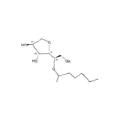 CCCCCC(C)O[C@H](CO)[C@H]1OC[C@H](O)[C@H]1O